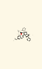 COC1(NC2CCCCC2)C2(C)c3ccc4c(c3-c3ccc5cc(CC(C)C)ccc5[n+]3C12C)-c1sc2ccccc2c1C4(C)C